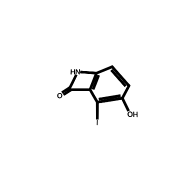 O=C1Nc2ccc(O)c(I)c21